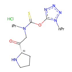 CCCn1nnnc1OC(=S)N(CC(=O)[C@@H]1CCCN1)C(C)C.Cl